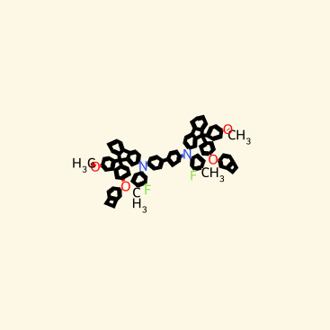 COc1ccc(C2(c3ccc(Oc4ccc5c(c4)CC5)cc3)c3ccccc3-c3ccc(N(c4ccc(-c5ccc(N(c6ccc(C)c(F)c6)c6ccc7c(c6)C(c6ccc(OC)cc6)(c6ccc(Oc8ccc9c(c8)CC9)cc6)c6ccccc6-7)cc5)cc4)c4ccc(C)c(F)c4)cc32)cc1